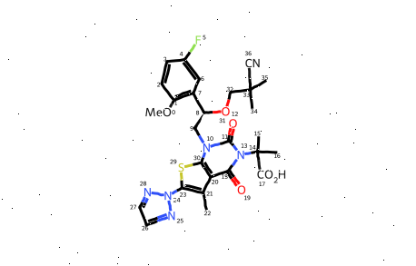 COc1ccc(F)cc1[C@H](Cn1c(=O)n(C(C)(C)C(=O)O)c(=O)c2c(C)c(-n3nccn3)sc21)OCC(C)(C)C#N